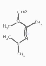 C/C(=N/N(C)C)N(C)C=O